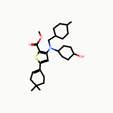 COC(=O)c1sc(C2=CCC(C)(C)CC2)cc1N(CC1CCC(C)CC1)C1CCC(O)CC1